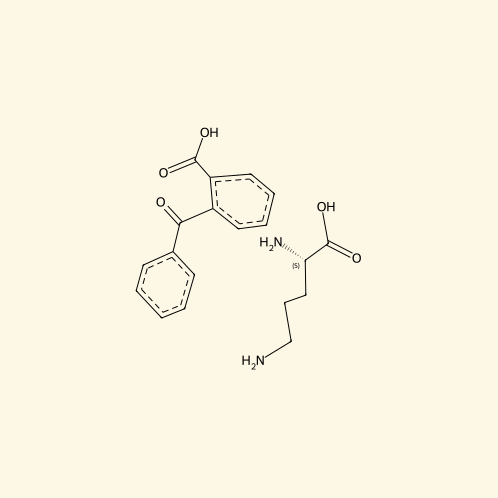 NCCC[C@H](N)C(=O)O.O=C(O)c1ccccc1C(=O)c1ccccc1